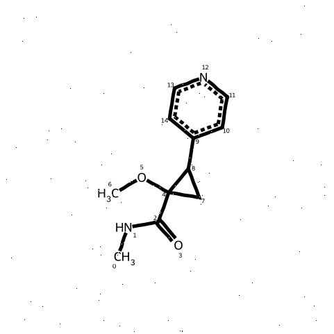 CNC(=O)C1(OC)CC1c1ccncc1